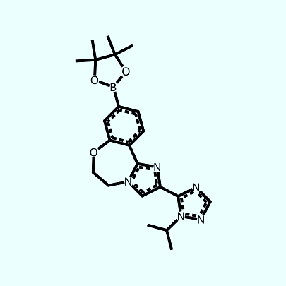 CC(C)n1ncnc1-c1cn2c(n1)-c1ccc(B3OC(C)(C)C(C)(C)O3)cc1OCC2